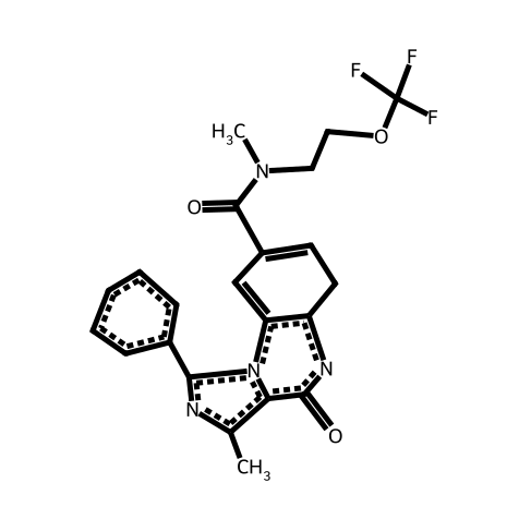 Cc1nc(-c2ccccc2)n2c3c(nc(=O)c12)CC=C(C(=O)N(C)CCOC(F)(F)F)C=3